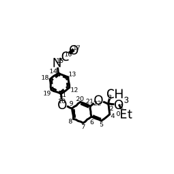 CCOC1(C)CC=C2CC=C(Oc3ccc(N=C=O)cc3)C=C2O1